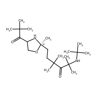 CC(C)(C)NC(C)(C)C(=O)C(C)(C)CC[C@]1(C)NC(C(=O)C(C)(C)C)CO1